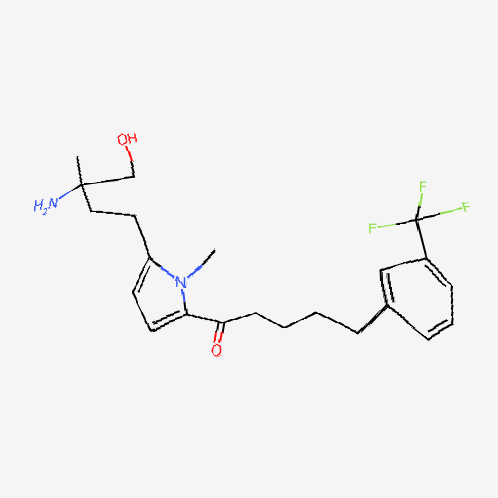 Cn1c(CCC(C)(N)CO)ccc1C(=O)CCCCc1cccc(C(F)(F)F)c1